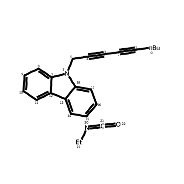 CCCCC#CC#CCn1c2ccccc2c2ccccc21.CCN=C=O